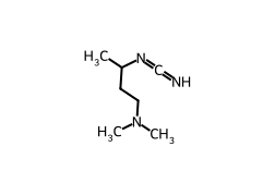 CC(CCN(C)C)N=C=N